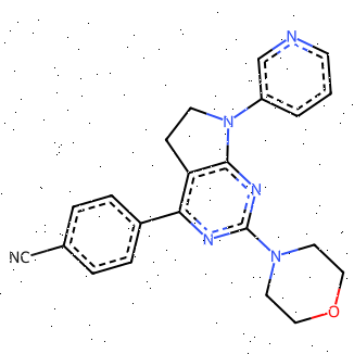 N#Cc1ccc(-c2nc(N3CCOCC3)nc3c2CCN3c2cccnc2)cc1